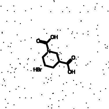 Br.O=C(O)C1CCCN(C(=O)O)C1